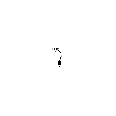 [BH3-]OC#N